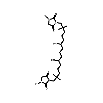 CCN1CC(=S)N(CC(C)(C)CCCC(O)CCCC(O)CCCC(C)(C)CN2C(=O)N(CC)CC2=S)C1=O